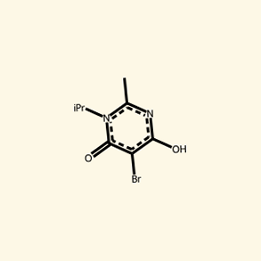 Cc1nc(O)c(Br)c(=O)n1C(C)C